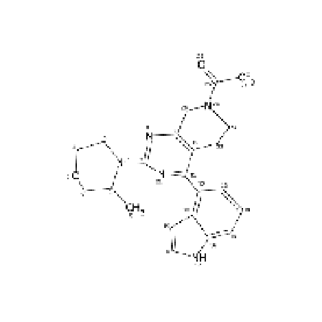 CC1COCCN1c1nc2c(c(-c3cccc4[nH]ccc34)n1)CCN(C(=O)C(F)(F)F)C2